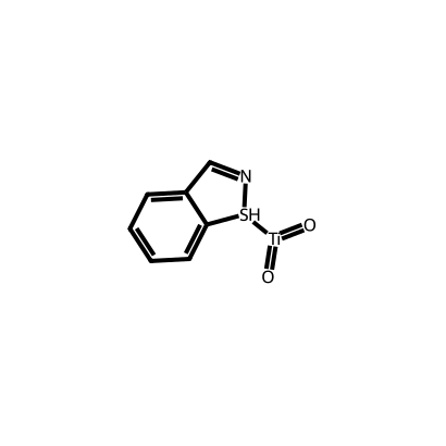 [O]=[Ti](=[O])[SH]1N=Cc2ccccc21